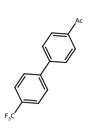 CC(=O)c1ccc(-c2ccc(C(F)(F)F)cc2)cc1